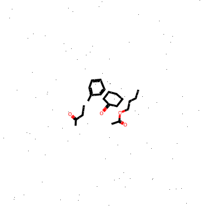 CCC(C)=O.CCCCOC(C)=O.Cc1ccccc1.O=C1CCCCC1